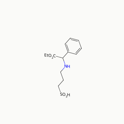 CCOC(=O)C(NCCCS(=O)(=O)O)c1ccccc1